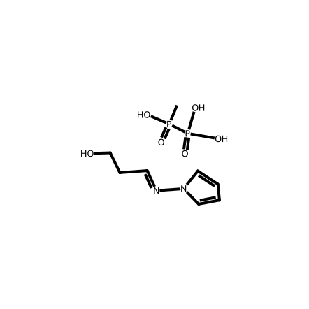 CP(=O)(O)P(=O)(O)O.OCCC=Nn1cccc1